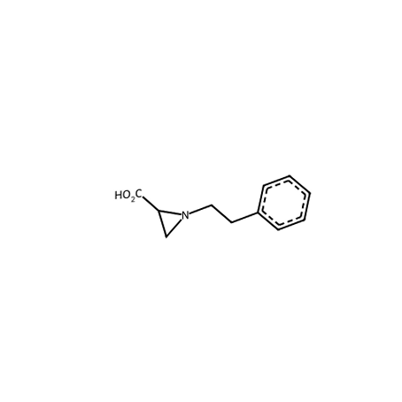 O=C(O)C1CN1CCc1ccccc1